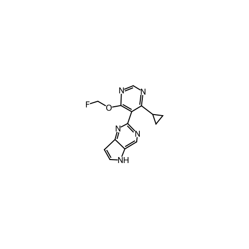 FCOc1ncnc(C2CC2)c1-c1ncc2[nH]ccc2n1